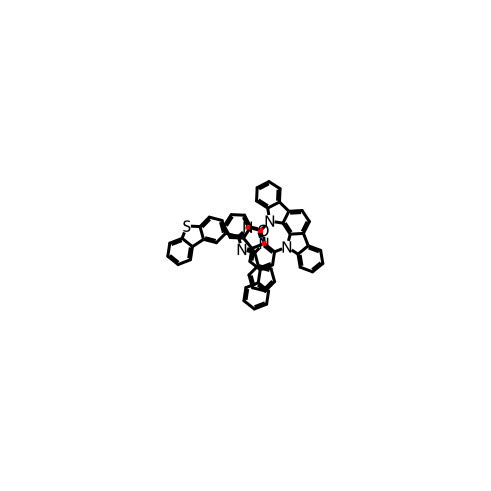 c1ccc(-c2cc(-n3c4ccccc4c4ccc5c6ccccc6n(-c6nc(-c7ccccc7)nc(-c7ccc8sc9ccccc9c8c7)n6)c5c43)c3oc4ccccc4c3c2)cc1